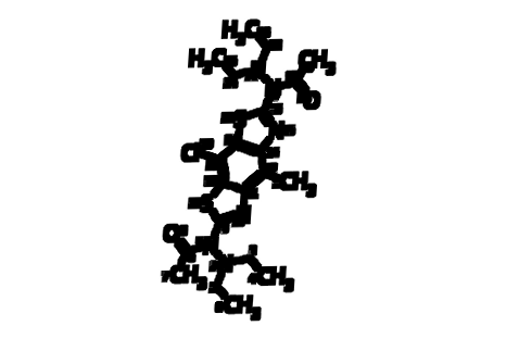 CCN(CC)N(C(C)=O)c1nc2c(C)c3nc(N(C(C)=O)N(CC)CC)sc3c(Cl)c2s1